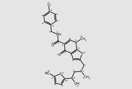 CN(Cc1cc2c(=O)c(C(=O)NCc3ccc(Cl)cc3)cn(C)c2s1)CC(O)c1ccc(C#N)s1